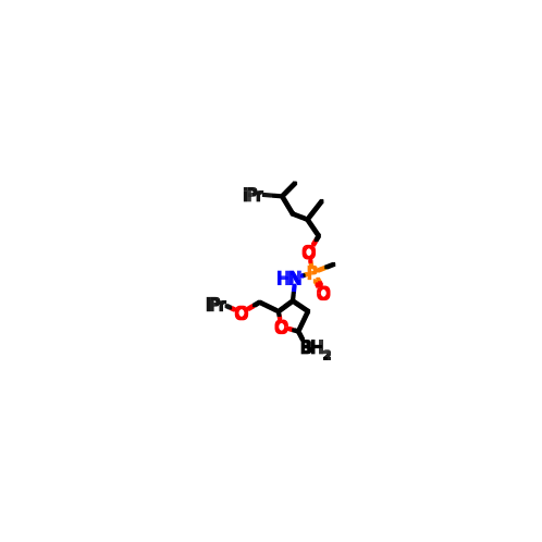 BC1CC(NP(C)(=O)OCC(C)CC(C)C(C)C)C(COC(C)C)O1